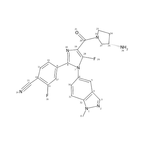 Cn1ncc2cc(-n3c(-c4ccc(C#N)c(F)c4)nc(C(=O)N4CC[C@H](N)C4)c3F)ccc21